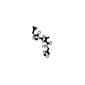 Cc1nc(-n2cnn(CC3CC3)c2=O)sc1C(=O)NCc1cocn1